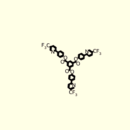 O=C(Oc1ccc(-c2ccc(C(F)(F)F)cn2)cc1)c1cc(C(=O)Oc2ccc(-c3ccc(C(F)(F)F)cn3)cc2)cc(C(=O)Oc2ccc(-c3ccc(C(F)(F)F)cn3)cc2)c1